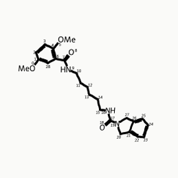 COc1ccc(OC)c(C(=O)NCCCCCCNC(=O)N2Cc3ccccc3C2)c1